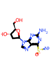 Nc1nc([S+](N)[O-])c2ncn([C@H]3C[C@H](O)[C@@H](CO)O3)c2n1